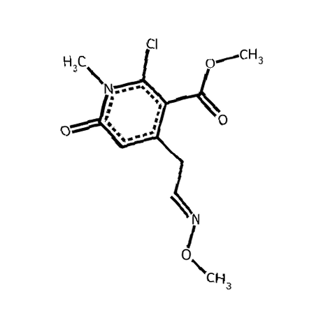 CO/N=C/Cc1cc(=O)n(C)c(Cl)c1C(=O)OC